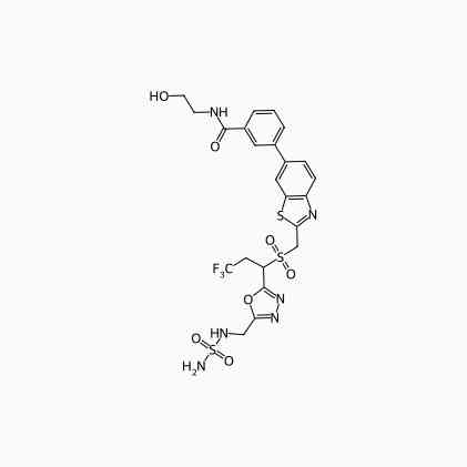 NS(=O)(=O)NCc1nnc(C(CC(F)(F)F)S(=O)(=O)Cc2nc3ccc(-c4cccc(C(=O)NCCO)c4)cc3s2)o1